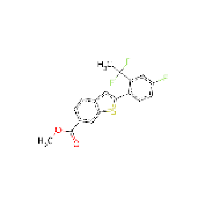 COC(=O)c1ccc2cc(-c3ccc(F)cc3C(C)(F)F)sc2c1